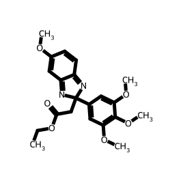 CCOC(=O)CC1(c2cc(OC)c(OC)c(OC)c2)N=c2ccc(OC)cc2=N1